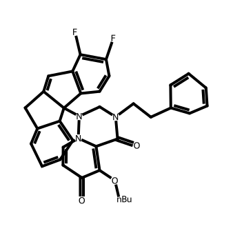 CCCCOc1c2n(ccc1=O)N(C13C(=Cc4c1ccc(F)c4F)Cc1ccccc13)CN(CCc1ccccc1)C2=O